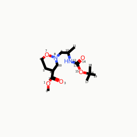 COC(=O)C1CCON(CC(C)NC(=O)OC(C)(C)C)C1